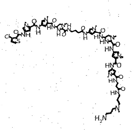 CN(CCCN)CCCNC(=O)CCNC(=O)c1cc(NC(=O)c2cc(NC(=O)C3NC(NC(=O)c4cc(NC(=O)CCCNC(=O)C5NC(NC(=O)c6cc(NC(=O)c7cc(NC(=O)c8sccc8Cl)cn7C)cn6C)CN5C)cn4C)CN3C)cn2C)cn1C